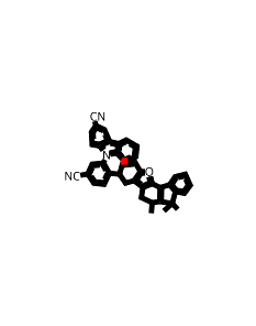 CC1Cc2c(oc3c2CC(c2ccc(C#N)cc2-n2c4ccccc4c4cc(C#N)ccc42)C=C3)C2=C1C(C)(C)c1ccccc12